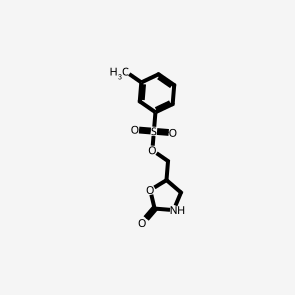 Cc1cccc(S(=O)(=O)OCC2CNC(=O)O2)c1